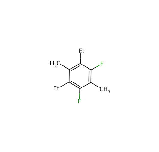 [CH2]c1c(CC)c(F)c(C)c(F)c1CC